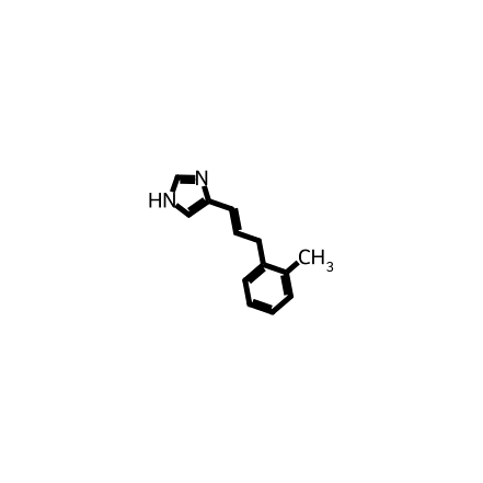 Cc1ccccc1CC=Cc1c[nH]cn1